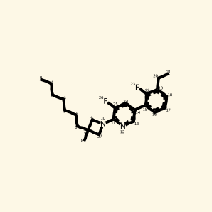 CCCCCCCC1(C)CN(c2ncc(-c3cccc(CC)c3F)cc2F)C1